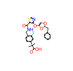 CC(C)(C(=O)O)c1ccc(CNC(=O)c2scnc2OC2=COC(Cc3ccccc3)O2)c(F)c1